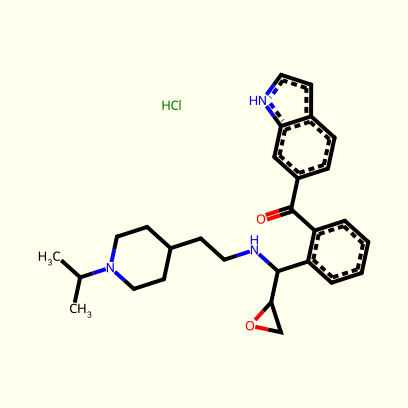 CC(C)N1CCC(CCNC(c2ccccc2C(=O)c2ccc3cc[nH]c3c2)C2CO2)CC1.Cl